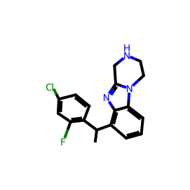 CC(c1ccc(Cl)cc1F)c1cccc2c1nc1n2CCNC1